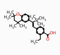 CCc1cc(C=C(c2ccc3c(c2)C(C)(C)CC(C)(C)O3)[Si](C)(C)C)ccc1C(=O)O